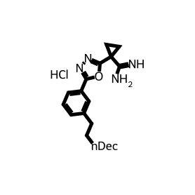 CCCCCCCCCCCCc1cccc(-c2nnc(C3(C(=N)N)CC3)o2)c1.Cl